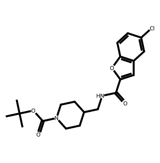 CC(C)(C)OC(=O)N1CCC(CNC(=O)c2cc3cc(Cl)ccc3o2)CC1